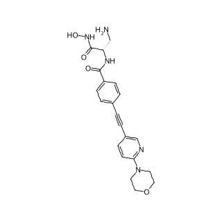 NC[C@H](NC(=O)c1ccc(C#Cc2ccc(N3CCOCC3)nc2)cc1)C(=O)NO